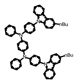 CCCCc1ccc2c(c1)c1ccccc1n2-c1ccc(N(c2ccccc2)c2ccc(N(c3ccccc3)c3ccc(-n4c5ccccc5c5cc(CCCC)ccc54)cc3)cc2)cc1